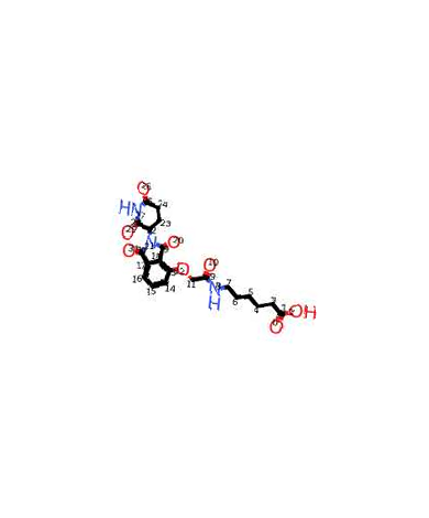 O=C(O)CCCCCNC(=O)COc1cccc2c1C(=O)N(C1CCC(=O)NC1=O)C2=O